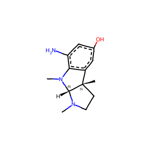 CN1CC[C@@]2(C)c3cc(O)cc(N)c3N(C)[C@@H]12